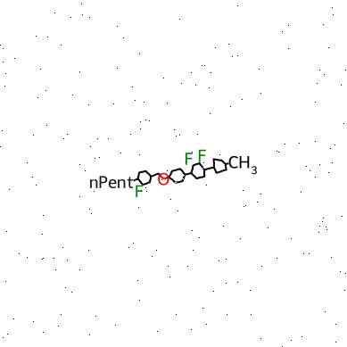 CCCCCC1CCC(COC2CCC(C3CCC(C4CCC(C)CC4)C(F)C3F)CC2)CC1F